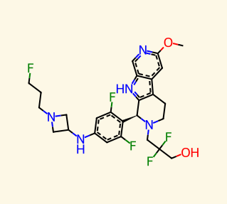 COc1cc2c3c([nH]c2cn1)[C@H](c1c(F)cc(NC2CN(CCCF)C2)cc1F)N(CC(F)(F)CO)CC3